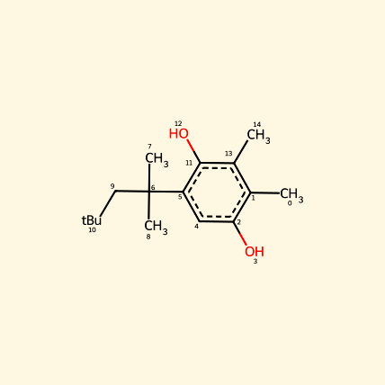 Cc1c(O)cc(C(C)(C)CC(C)(C)C)c(O)c1C